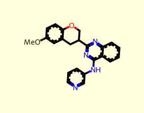 COc1ccc2c(c1)CC(c1nc(Nc3cccnc3)c3ccccc3n1)CO2